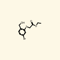 CCOC(=O)CSc1cc(Br)ccc1CO